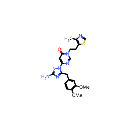 COc1ccc(Cc2nc(N)nn2-c2cc(=O)n(CCc3scnc3C)cn2)cc1OC